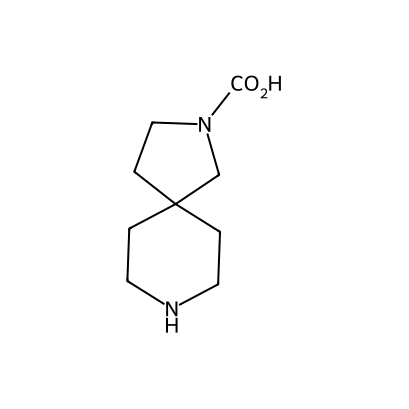 O=C(O)N1CCC2(CCNCC2)C1